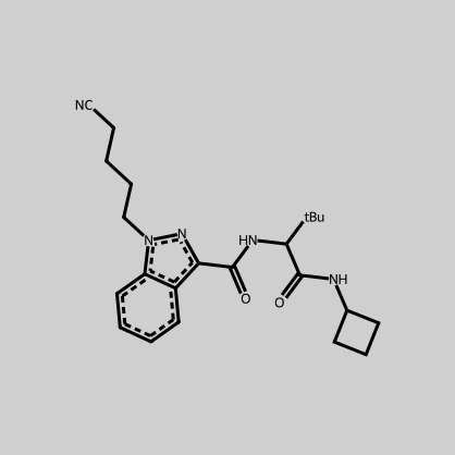 CC(C)(C)C(NC(=O)c1nn(CCCCC#N)c2ccccc12)C(=O)NC1CCC1